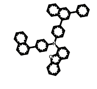 c1ccc(-c2cc(-c3ccc(N(c4ccc(-c5cccc6ccccc56)cc4)c4cccc5c4oc4ccccc45)cc3)c3ccccc3c2)cc1